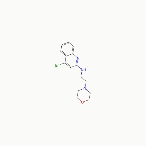 Brc1cc(NCCN2CCOCC2)nc2ccccc12